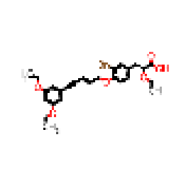 CCOc1cc(C#CC=CCOc2ccc(C[C@H](OCC)C(=O)O)cc2Br)cc(OCC)c1